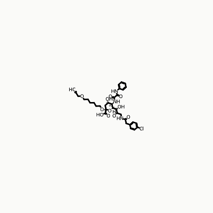 C#CCOCCCCCCO[C@]1(C(=O)O)C[C@H](O)[C@@H](NC(=O)C(=O)Nc2ccccc2)[C@H]([C@H](O)[C@H](O)CNC(=O)Cc2ccc(Cl)cc2)O1